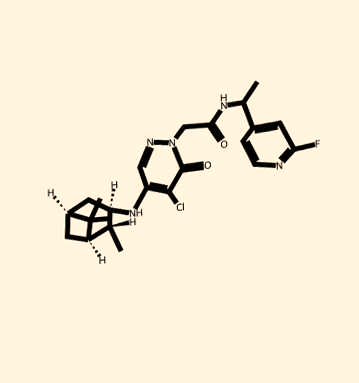 CC(NC(=O)Cn1ncc(N[C@@H]2C[C@@H]3C[C@H]([C@H]2C)C3(C)C)c(Cl)c1=O)c1ccnc(F)c1